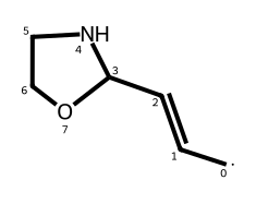 [CH2]/C=C/C1NCCO1